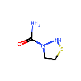 NC(=O)N1CCSN1